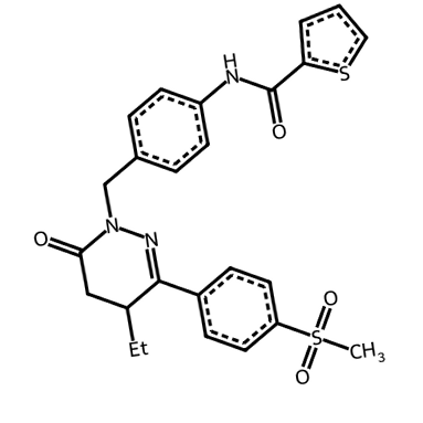 CCC1CC(=O)N(Cc2ccc(NC(=O)c3cccs3)cc2)N=C1c1ccc(S(C)(=O)=O)cc1